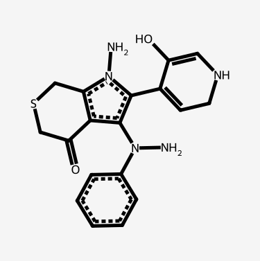 NN(c1ccccc1)c1c2c(n(N)c1C1=CCNC=C1O)CSCC2=O